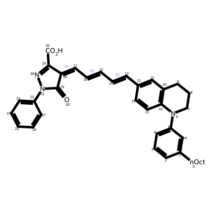 CCCCCCCCc1cccc(N2CCCc3cc(/C=C/C=C/C=C4\C(=O)N(c5ccccc5)N=C4C(=O)O)ccc32)c1